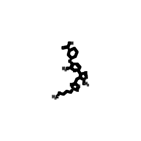 COCCCn1nnc(Cc2c(-c3ccc(O[C@H]4CCC[C@H](C(=O)O)C4)c(C)n3)nnn2C)n1